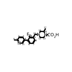 Cc1ccc(-c2cccc(CN3CCN(C(=O)O)C(C)C3)c2F)cn1